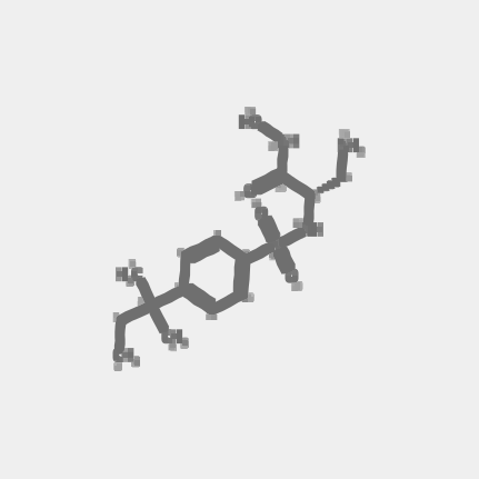 CCC(C)(C)c1ccc(S(=O)(=O)N[C@@H](CN)C(=O)NO)cc1